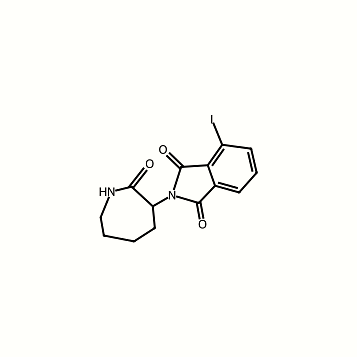 O=C1NCCCCC1N1C(=O)c2cccc(I)c2C1=O